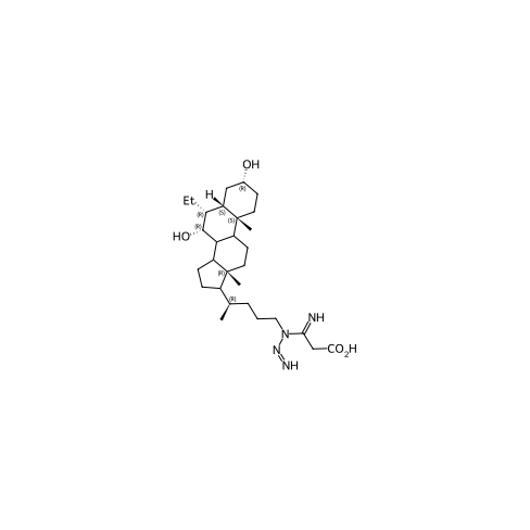 CC[C@H]1[C@@H](O)C2C3CCC([C@H](C)CCCN(N=N)C(=N)CC(=O)O)[C@@]3(C)CCC2[C@@]2(C)CC[C@@H](O)C[C@@H]12